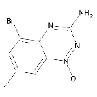 Cc1cc(Br)c2nc(N)n[n+]([O-])c2c1